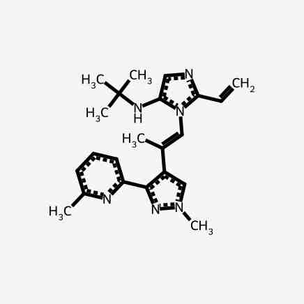 C=Cc1ncc(NC(C)(C)C)n1/C=C(\C)c1cn(C)nc1-c1cccc(C)n1